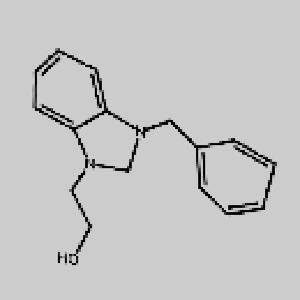 OCCN1CN(Cc2ccccc2)c2ccccc21